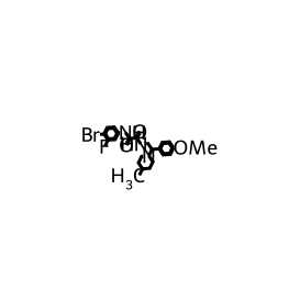 COc1ccc(C(CNC(=O)C(=O)Nc2ccc(Br)c(F)c2)N2CCC(C)CC2)cc1